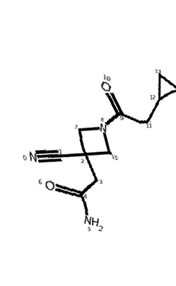 N#CC1(CC(N)=O)CN(C(=O)[CH]C2CC2)C1